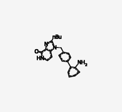 CCCCc1nc2c(=O)[nH]ccc2n1Cc1ccc(-c2ccccc2N)cc1